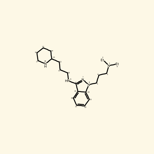 CCN(CC)CCCn1nc(NCCCC2CCCCN2)c2ccccc21